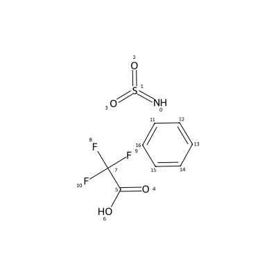 N=S(=O)=O.O=C(O)C(F)(F)F.c1ccccc1